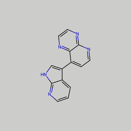 c1cnc2[nH]cc(-c3ccnc4nccnc34)c2c1